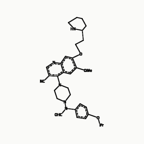 COc1cc2c(N3CCN(N(C=O)c4ccc(OC(C)C)cc4)CC3)c(C#N)cnc2cc1OCCC1CCCCN1